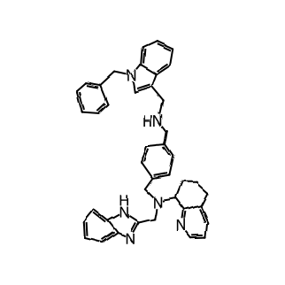 c1ccc(Cn2cc(CNCc3ccc(CN(Cc4nc5ccccc5[nH]4)C4CCCc5cccnc54)cc3)c3ccccc32)cc1